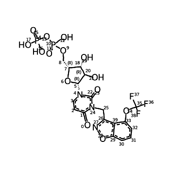 O=c1ccn([C@@H]2O[C@H](COP(=O)(O)OP(=O)(O)O)[C@H](O)C2O)c(=O)n1Cc1noc2cccc(OC(F)(F)F)c12